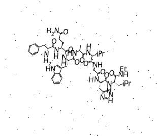 CCNC(=O)[C@H](CC(C)C)NC(=O)[C@H](Cc1c[nH]cn1)NC(=O)CNC(=O)[C@@H](NC(=O)[C@H](C)NC(=O)[C@H](Cc1c[nH]c2ccccc12)NC(=O)[C@H](CCC(N)=O)NC(=O)[C@H](N)Cc1ccccc1)C(C)C